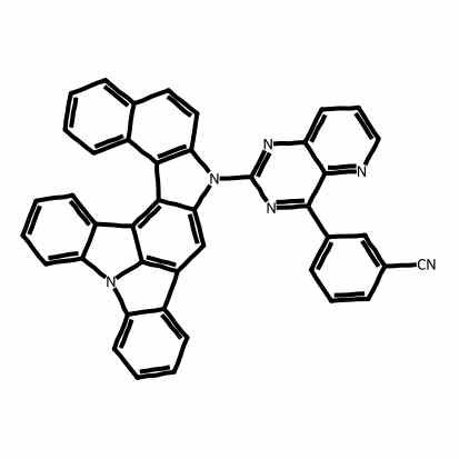 N#Cc1cccc(-c2nc(-n3c4ccc5ccccc5c4c4c5c6ccccc6n6c7ccccc7c(cc43)c56)nc3cccnc23)c1